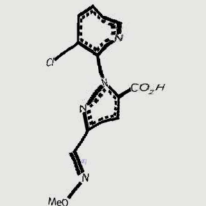 CO/N=C/c1cc(C(=O)O)n(-c2ncccc2Cl)n1